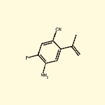 C=C(C)c1cc(N)c(F)cc1C#N